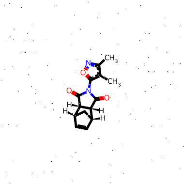 Cc1noc(N2C(=O)[C@@H]3[C@H](C2=O)[C@@H]2C=C[C@H]3C2)c1C